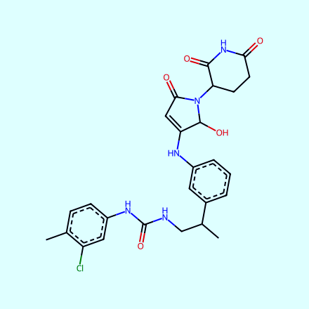 Cc1ccc(NC(=O)NCC(C)c2cccc(NC3=CC(=O)N(C4CCC(=O)NC4=O)C3O)c2)cc1Cl